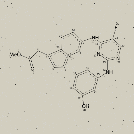 COC(=O)Cc1ccn2cc(Nc3nc(Nc4cccc(O)c4)ncc3F)ccc12